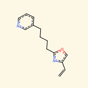 C=Cc1coc(CCCCc2cccnc2)n1